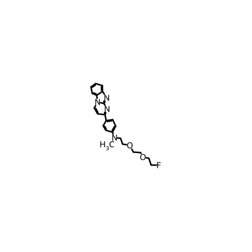 CN(CCOCCOCCF)c1ccc(-c2ccn3c(n2)nc2ccccc23)cc1